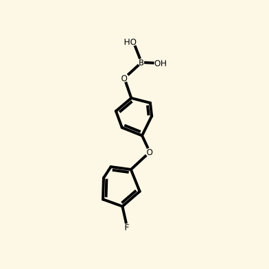 OB(O)Oc1ccc(Oc2cccc(F)c2)cc1